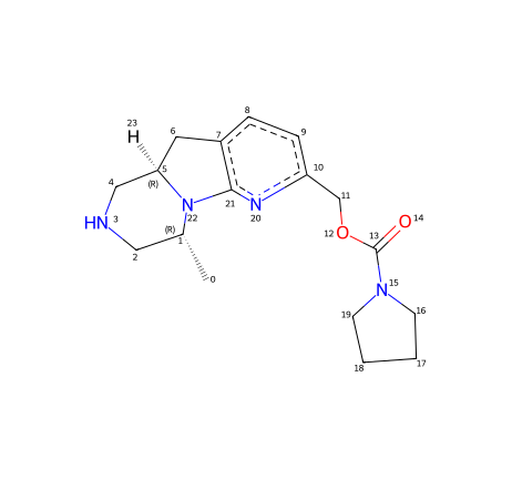 C[C@@H]1CNC[C@H]2Cc3ccc(COC(=O)N4CCCC4)nc3N21